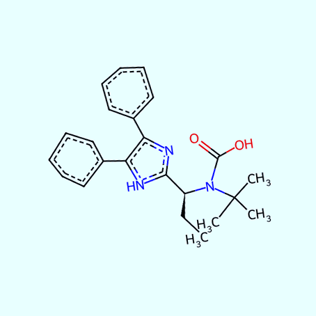 CC[C@@H](c1nc(-c2ccccc2)c(-c2ccccc2)[nH]1)N(C(=O)O)C(C)(C)C